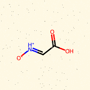 O=C(O)C=[NH+][O-]